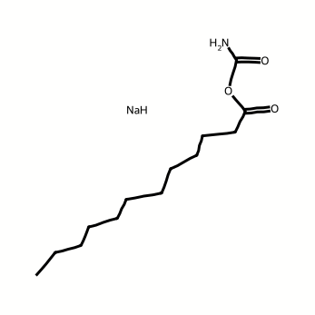 CCCCCCCCCCCC(=O)OC(N)=O.[NaH]